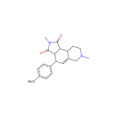 COc1ccc(C2C=C3CN(C)CCC3C3C(=O)N(C)C(=O)C23)cc1